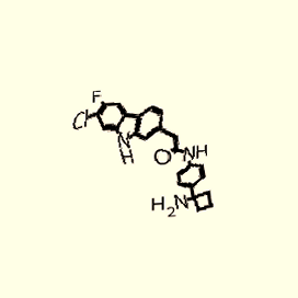 NC1(c2ccc(NC(=O)Cc3ccc4c(c3)[nH]c3cc(Cl)c(F)cc34)cc2)CCC1